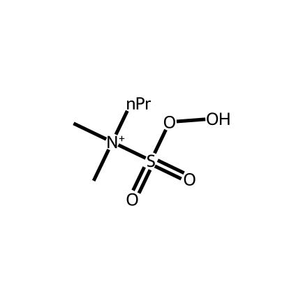 CCC[N+](C)(C)S(=O)(=O)OO